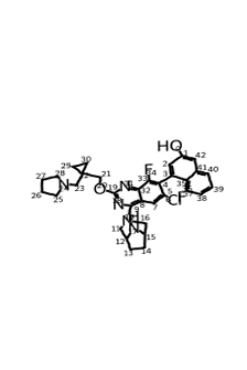 Oc1cc(-c2c(Cl)cc3c(N4CC5CCC(C4)N5)nc(OCC4(CN5CCCC5)CC4)nc3c2F)c2c(F)cccc2c1